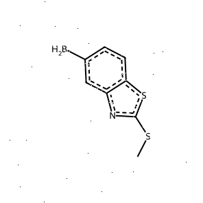 Bc1ccc2sc(SC)nc2c1